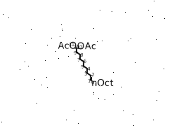 CCCCCCCC/C=C/CCCCCCCC(OC(C)=O)OC(C)=O